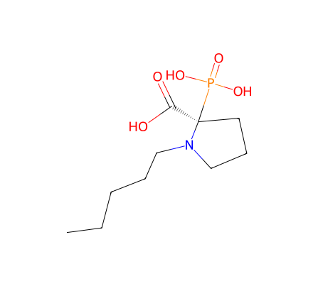 CCCCCN1CCC[C@]1(C(=O)O)P(=O)(O)O